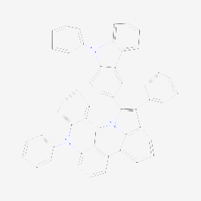 c1ccc(-c2c(-c3ccc4c(c3)c3ccccc3n4-c3ccccc3)n3c4c(cccc24)-c2cccc4c2B3c2ccccc2N4c2ccccc2)cc1